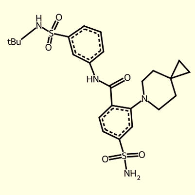 CC(C)(C)NS(=O)(=O)c1cccc(NC(=O)c2ccc(S(N)(=O)=O)cc2N2CCC3(CC2)CC3)c1